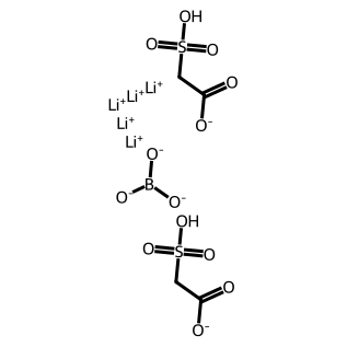 O=C([O-])CS(=O)(=O)O.O=C([O-])CS(=O)(=O)O.[Li+].[Li+].[Li+].[Li+].[Li+].[O-]B([O-])[O-]